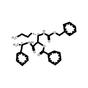 CCCC[C@H](NC(=O)OCc1ccccc1)C(OC(=O)c1ccccc1)C(=O)[AsH][C@H](C)c1ccccc1